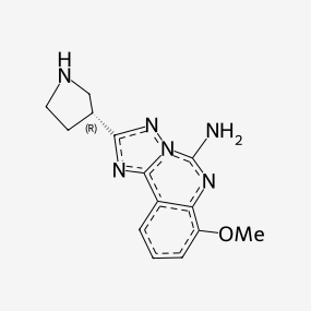 COc1cccc2c1nc(N)n1nc([C@@H]3CCNC3)nc21